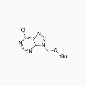 CC(C)(C)OCn1cnc2c(Cl)ncnc21